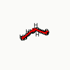 Cc1c(CC(=O)NCCCOCCOCCOCCCNC(=O)c2ccc3nonc3c2)c(=O)oc2cc(NCC(=O)NCCOCCOCCOCCOCCC(=O)ON3C(=O)CCC3=O)ccc12